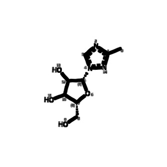 Cc1ncn([C@@H]2O[C@H](CO)C(O)C2O)n1